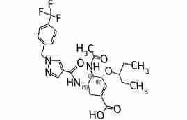 CCC(CC)O[C@@H]1C=C(C(=O)O)C[C@H](NC(=O)c2cnn(Cc3ccc(C(F)(F)F)cc3)c2)[C@H]1NC(C)=O